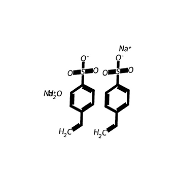 C=Cc1ccc(S(=O)(=O)[O-])cc1.C=Cc1ccc(S(=O)(=O)[O-])cc1.O.[Na+].[Na+]